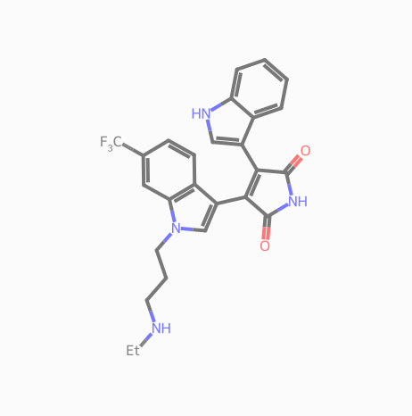 CCNCCCn1cc(C2=C(c3c[nH]c4ccccc34)C(=O)NC2=O)c2ccc(C(F)(F)F)cc21